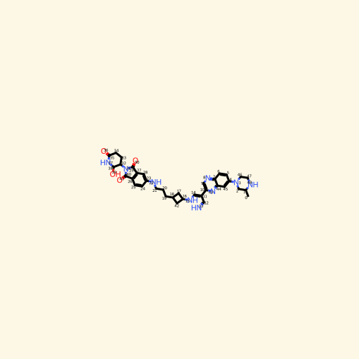 CC1CN(c2ccc3ncc(/C(C=N)=C/NC4CC(CCCNc5ccc6c(c5)C(=O)N(C5CCC(=O)NC5O)C6=O)C4)nc3c2)CCN1